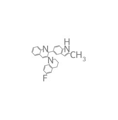 Cc1cc2cc(-c3nc4ccccc4cc3N3CCCc4cc(F)ccc43)ccc2[nH]1